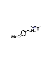 C=C(C)/C=C(/C)N(C)CCc1ccc(OC)cc1